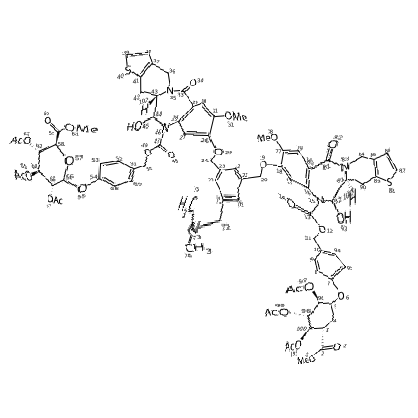 COC(=O)[C@H]1CC(Oc2ccc(COC(=O)N3c4cc(OCc5cc(COc6cc7c(cc6OC)C(=O)N6Cc8ccsc8C[C@H]6C(O)N7C(=O)OCc6ccc(OC7O[C@H](C(=O)OC)[C@@H](OC(C)=O)[C@H](OC(C)=O)[C@H]7OC(C)=O)cc6)cc(CN(C)C)c5)c(OC)cc4C(=O)N4Cc5ccsc5C[C@H]4C3O)cc2)[C@H](OC(C)=O)[C@@H](OC(C)=O)[C@@H]1OC(C)=O